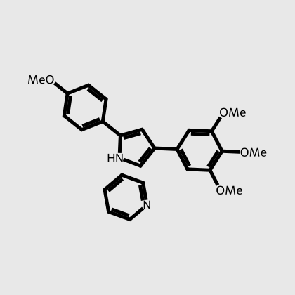 COc1ccc(-c2cc(-c3cc(OC)c(OC)c(OC)c3)c[nH]2)cc1.c1ccncc1